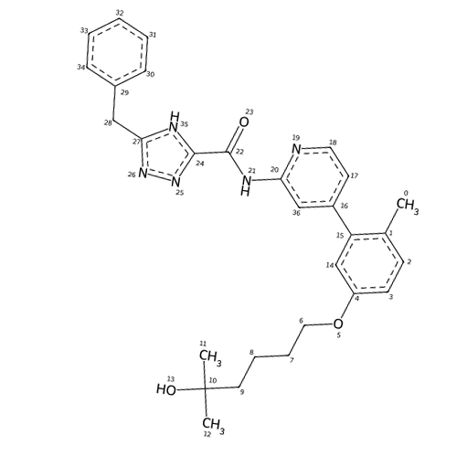 Cc1ccc(OCCCCC(C)(C)O)cc1-c1ccnc(NC(=O)c2nnc(Cc3ccccc3)[nH]2)c1